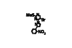 CSc1ncc(Br)c(-n2ccc(-c3ccccc3[N+](=O)[O-])n2)n1